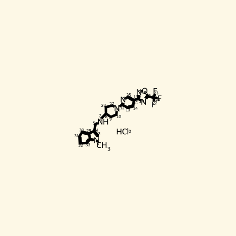 Cl.Cn1cc(CNCC2CCN(c3ccc(-c4noc(C(F)(F)F)n4)cn3)CC2)c2ccccc21